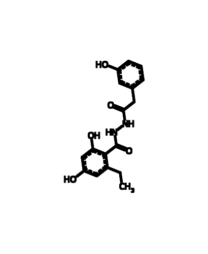 CCc1cc(O)cc(O)c1C(=O)NNC(=O)Cc1cccc(O)c1